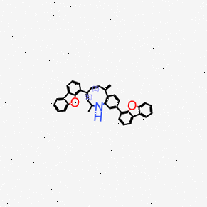 C=C1/C=C\C(c2cccc3c2oc2ccccc23)=C/C(C)Nc2cc(-c3cccc4c3oc3ccccc34)ccc21